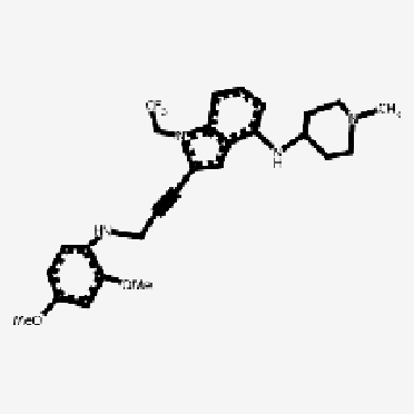 COc1ccc(NCC#Cc2cc3c(NC4CCN(C)CC4)cccc3n2CC(F)(F)F)c(OC)c1